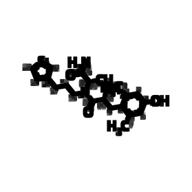 Cc1cc(O)cc(C)c1C[C@H](N)C(=O)N(CCCc1ccsc1)[C@H](C)C(N)=O